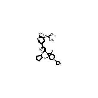 CC(C)Oc1cc(-c2cc([C@@H]3[C@@H]4CN(C5COC5)C[C@@H]43)n(C3CCCC3)n2)cnc1N